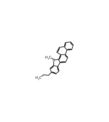 CCCc1ccc2c3ccc4c5ccccc5ccc4c3n(C)c2c1